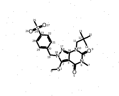 CSc1c2c(=O)n(C)c(=O)n(CC(C)(C)C)c2nn1Cc1ccc(S(C)(=O)=O)cc1